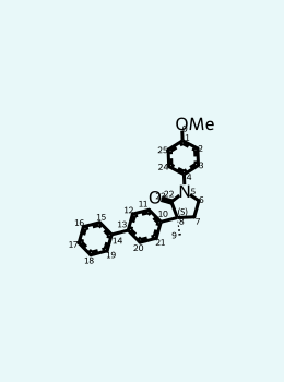 COc1ccc(N2CC[C@@](C)(c3ccc(-c4ccccc4)cc3)C2=O)cc1